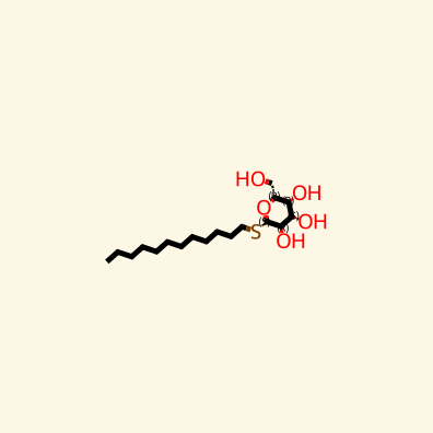 CCCCCCCCCCCCS[C@@H]1O[C@H](CO)[C@H](O)[C@H](O)[C@H]1O